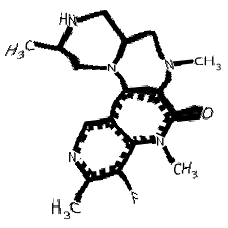 Cc1ncc2c3c(c(=O)n(C)c2c1F)N(C)CC1CNC(C)CN31